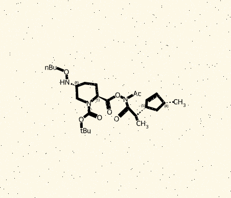 CCCCON[C@@H]1CC[C@@H](C(=O)ON(C(C)=O)C(=O)C(C)[C@@H]2C=C[C@H](C)C2)N(C(=O)OC(C)(C)C)C1